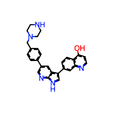 Oc1ccnc2cc(-c3c[nH]c4ncc(-c5ccc(CN6CCNCC6)cc5)cc34)ccc12